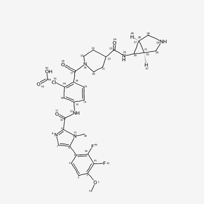 COc1ccc(-c2cnc(C(=O)Nc3ccc(C(=O)N4CCC(C(=O)NC5[C@H]6CNC[C@@H]56)CC4)c(Cl)c3)n2C)c(F)c1F.O=CO